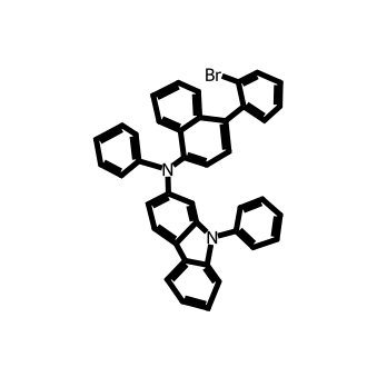 Brc1ccccc1-c1ccc(N(c2ccccc2)c2ccc3c4ccccc4n(-c4ccccc4)c3c2)c2ccccc12